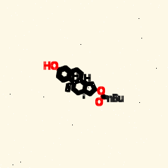 C=C[C@]12CC[C@]3(C)C[C@H](OC(=O)CCCC)C[C@H]3[C@@H]1CCc1cc(O)ccc12